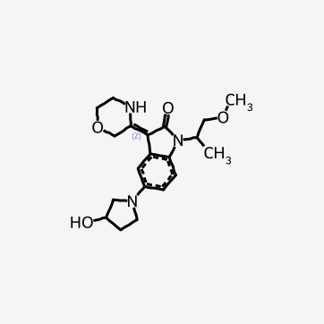 COCC(C)N1C(=O)/C(=C2/COCCN2)c2cc(N3CCC(O)C3)ccc21